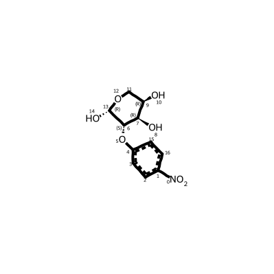 O=[N+]([O-])c1ccc(O[C@H]2[C@H](O)[C@H](O)CO[C@H]2O)cc1